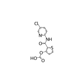 O=C(O)Oc1ccsc1C(=O)Nc1ccc(Cl)cn1